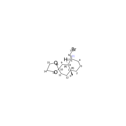 C[C@]12CCC/C(=C\Br)[C@@H]1CC1(CC2)OCCO1